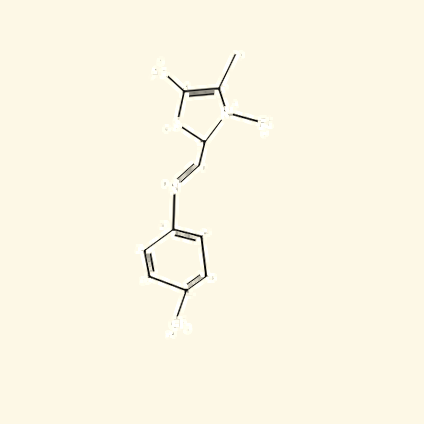 CCN1C(C)=C(C(C)=O)SC1/C=N/c1ccc(C(F)(F)F)cc1